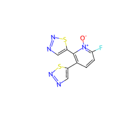 [O-][n+]1c(F)ccc(-c2cnns2)c1-c1cnns1